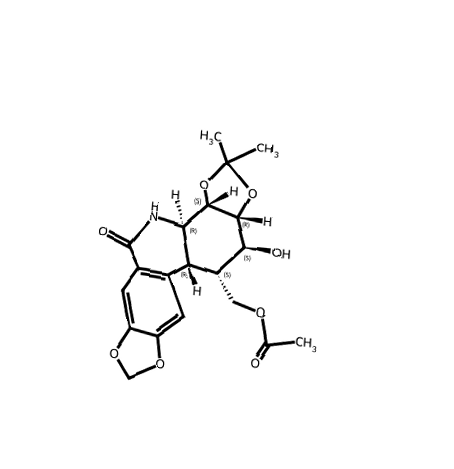 CC(=O)OC[C@H]1[C@H](O)[C@H]2OC(C)(C)O[C@H]2[C@@H]2NC(=O)c3cc4c(cc3[C@@H]12)OCO4